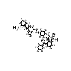 Cc1cccc(CN(CCCOc2ccc(C[C@H](Nc3ccccc3C(=O)c3ccccc3)C(=O)O)cc2)C(=O)C2CCC2)c1